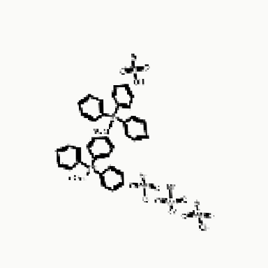 CCCCCCCC[P+](c1ccccc1)(c1ccccc1)c1ccccc1.CCCCCCCC[P+](c1ccccc1)(c1ccccc1)c1ccccc1.[O]=[Mn](=[O])([O-])[Br].[O]=[Mn](=[O])([O-])[Br].[O]=[Mn](=[O])([OH])[Br].[O]=[Mn](=[O])([OH])[Br]